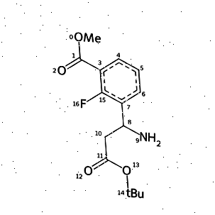 COC(=O)c1cccc(C(N)CC(=O)OC(C)(C)C)c1F